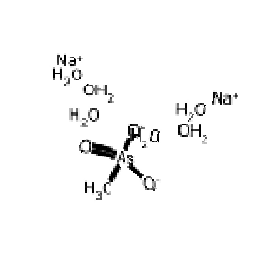 C[As](=O)([O-])[O-].O.O.O.O.O.O.[Na+].[Na+]